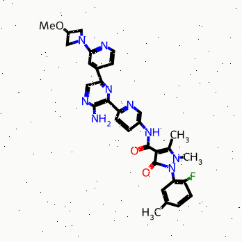 COC1CN(c2cc(-c3cnc(N)c(-c4ccc(NC(=O)c5c(C)n(C)n(-c6cc(C)ccc6F)c5=O)cn4)n3)ccn2)C1